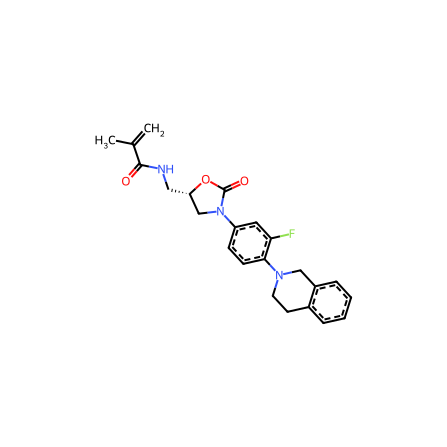 C=C(C)C(=O)NC[C@H]1CN(c2ccc(N3CCc4ccccc4C3)c(F)c2)C(=O)O1